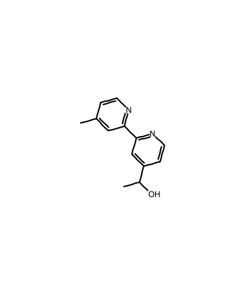 Cc1ccnc(-c2cc(C(C)O)ccn2)c1